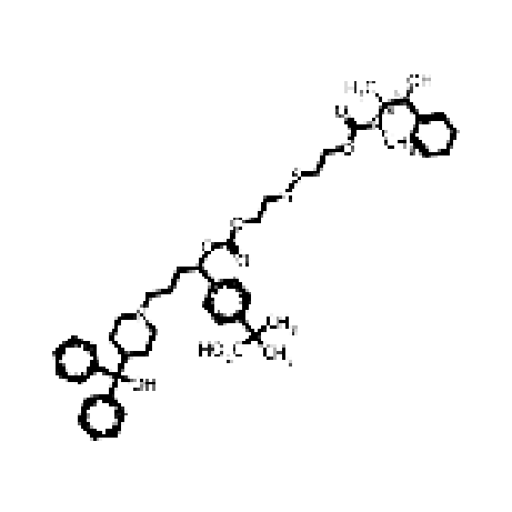 C[C@@H]([C@@H](O)C1=CCCC=C1)N(C)C(=O)OCCSSCCOC(=O)OC(CCCN1CCC(C(O)(c2ccccc2)c2ccccc2)CC1)c1ccc(C(C)(C)C(=O)O)cc1